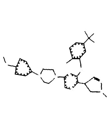 COc1ccc(N2CCN(c3cnc(C4C=NN(C)C4)c(Nc4cc(C(C)(C)C)ccc4C)n3)CC2)cc1